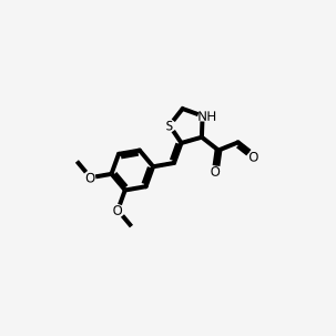 COc1ccc(C=C2SCNC2C(=O)C=O)cc1OC